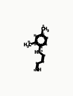 Cc1ccc(N/C=C\C=N)c(C)c1